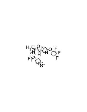 C[C@@H](C(=O)Nc1cnc(Oc2ccc(F)c(F)c2F)cn1)N1CCC(F)(F)[C@@H](c2cc[n+]([O-])cc2)C1